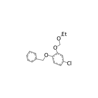 CCOCOc1cc(Cl)ccc1OCc1ccccc1